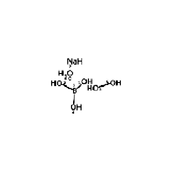 O.OB(O)O.OO.[NaH]